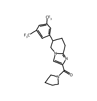 O=C(c1cn2c(n1)CCC(c1cc(C(F)(F)F)cc(C(F)(F)F)c1)C2)N1CCCC1